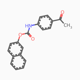 CC(=O)c1ccc(NC(=O)Oc2ccc3ccccc3c2)cc1